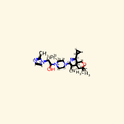 Cc1nccn1CC(O)N1CCN(c2nc(C3CC3)c3c(c2C#N)CC(C)(C)OC3)C[C@H]1C(C)C